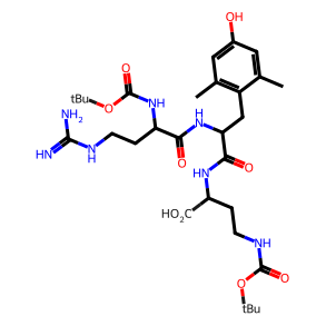 Cc1cc(O)cc(C)c1CC(NC(=O)C(CCNC(=N)N)NC(=O)OC(C)(C)C)C(=O)NC(CCNC(=O)OC(C)(C)C)C(=O)O